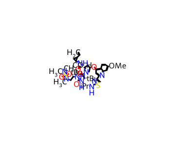 C=CC1C[C@]1(NC(=O)[C@@H]1C[C@@H](Oc2cc(-c3csc(NC(C)C)n3)nc3cc(OC)ccc23)CN1C(=O)[C@@H](NC(=O)N[C@H](CN(C)S(=O)(=O)N(C)C)C(C)(C)C)C(C)(C)C)C(=O)O